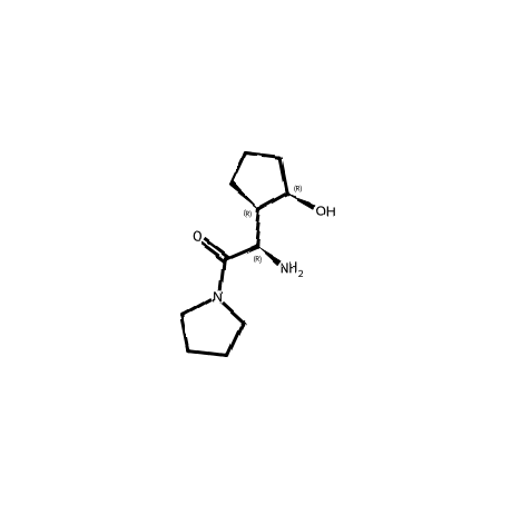 N[C@@H](C(=O)N1CCCC1)[C@H]1CCC[C@H]1O